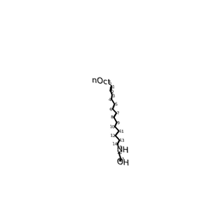 CCCCCCCCC=CCCCCCCCCCCCCNCCO